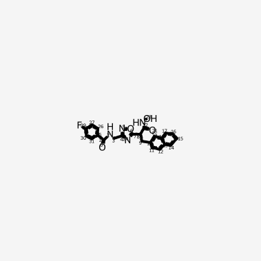 O=C(NCc1noc(C(Cc2ccc3ccccc3c2)C(=O)NO)n1)c1ccc(F)cc1